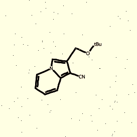 CC(C)(C)OCc1cn2ccccc2c1C#N